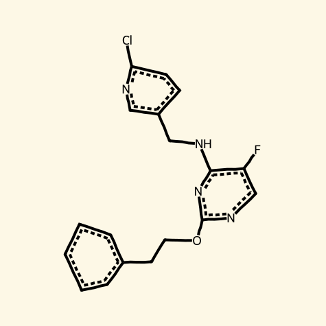 Fc1cnc(OCCc2ccccc2)nc1NCc1ccc(Cl)nc1